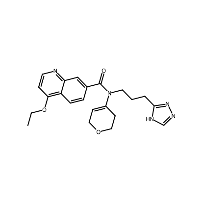 CCOc1ccnc2cc(C(=O)N(CCCc3nnc[nH]3)C3=CCOCC3)ccc12